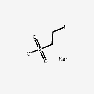 O=S(=O)([O-])CCI.[Na+]